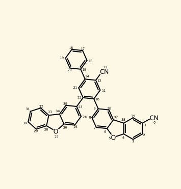 N#Cc1ccc2oc3ccc(-c4cc(C#N)c(-c5ccccc5)cc4-c4ccc5oc6ccccc6c5c4)cc3c2c1